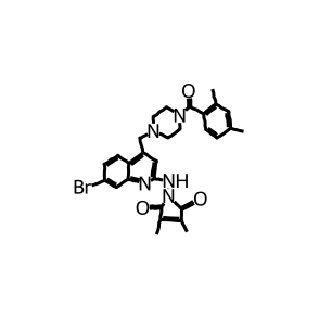 CC1=C(C)C(=O)N(Nc2cc(CN3CCN(C(=O)c4ccc(C)cc4C)CC3)c3ccc(Br)cc3n2)C1=O